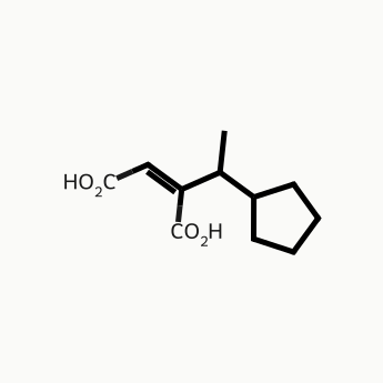 CC(/C(=C/C(=O)O)C(=O)O)C1CCCC1